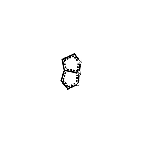 c1cc2ccsn2n1